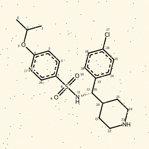 CC(C)Oc1ccc(S(=O)(=O)N[C@H](c2ccc(Cl)cc2)C2CCNCC2)cn1